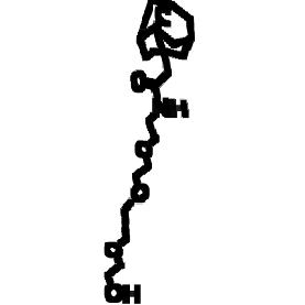 O=C(CC12CC3CC4CC(C1)C2(C4)C3)NCCOCCOCCOCCO